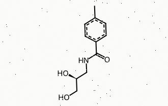 Cc1ccc(C(=O)NC[C@H](O)CO)cc1